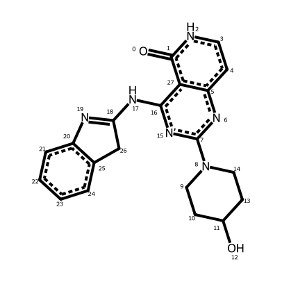 O=c1[nH]ccc2nc(N3CCC(O)CC3)nc(NC3=Nc4ccccc4C3)c12